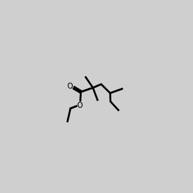 CCOC(=O)C(C)(C)CC(C)CC